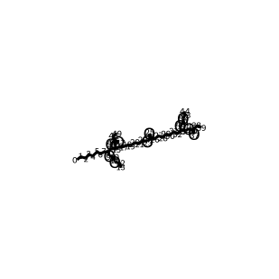 CCCCCCCCC(OCOCC)C(CCCCCCCCOC(=O)CCCCCCCC(COC(=O)CC)OCOCC)OC(=O)CC